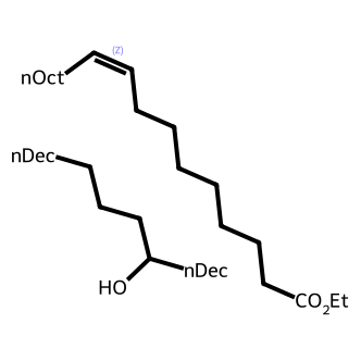 CCCCCCCC/C=C\CCCCCCCC(=O)OCC.CCCCCCCCCCCCCC(O)CCCCCCCCCC